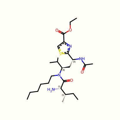 CCCCCCN(C(=O)[C@@H](N)[C@@H](C)CC)[C@H](C[C@@H](NC(C)=O)c1nc(C(=O)OCC)cs1)C(C)C